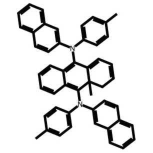 Cc1ccc(N(C2=c3ccccc3=C(N(c3ccc(C)cc3)c3ccc4ccccc4c3)C3(C)CC=CC=C23)c2ccc3ccccc3c2)cc1